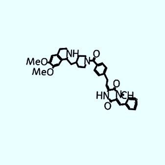 COc1cc2c(cc1OC)C(CC1CCN(C(=O)c3ccc(CC=c4[nH]c(=O)c(=Cc5ccccc5)n(C)c4=O)cc3)CC1)NCC2